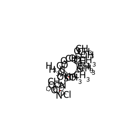 CC[C@H]1OC(=O)[C@H](C)[C@@H](O[C@H]2C[C@@](C)(OC)[C@@H](O)[C@H](C)O2)[C@H](C)C[C@](C)(OC)C[C@@H](C)C(=O)[C@H](C)[C@H]2[C@H](SCCN(Cc3c(Cl)cncc3Cl)c3ccc(OC)c(OC4CCCC4)c3)C(=O)O[C@@]21C